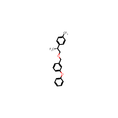 FC(F)(F)c1ccc([C@@H](COCc2cccc(Oc3ccccc3)c2)C(F)(F)F)cc1